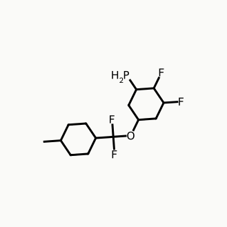 CC1CCC(C(F)(F)OC2CC(F)C(F)C(P)C2)CC1